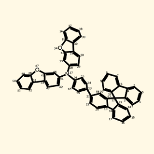 c1ccc2c(c1)-c1ccccc1C21c2ccccc2-c2ccc(-c3ccc(N(c4ccc5c(c4)oc4ccccc45)c4ccc5c(c4)oc4ccccc45)cc3)cc21